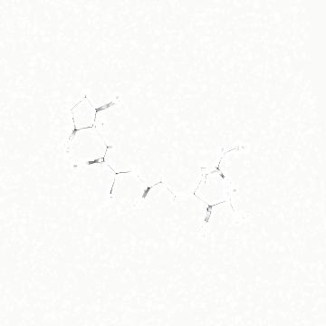 C[C@H](OC(=O)CC[C@H](NC(=O)OC(C)(C)C)C(=O)OC(C)(C)C)C(=O)CN1C(=O)CCC1=O